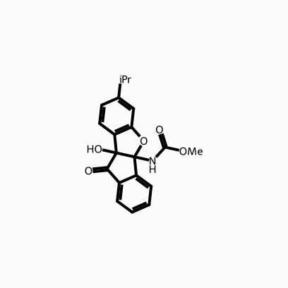 COC(=O)NC12Oc3cc(C(C)C)ccc3C1(O)C(=O)c1ccccc12